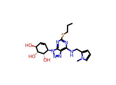 CCCSc1nc(NCc2cccn2C)c2nnn([C@@H]3C=C[C@H](O)[C@@H](O)[C@H]3O)c2n1